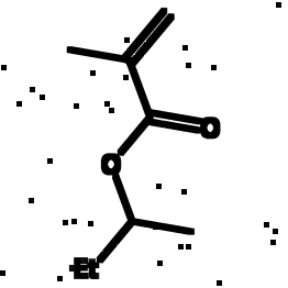 C=C(C)C(=O)OC(C)[CH]C